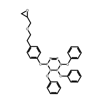 c1ccc(On2pnp(Oc3ccc(CCOCC4CO4)cc3)n(Oc3ccccc3)p2Oc2ccccc2)cc1